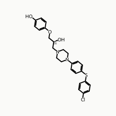 Oc1ccc(OC[C@@H](O)CN2CCN(c3ccc(Sc4ccc(Cl)cc4)cc3)CC2)cc1